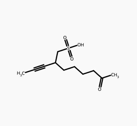 CC#CC(CCCCC(C)=O)CS(=O)(=O)O